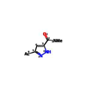 CNC(=O)c1cc(C(C)=O)n[nH]1